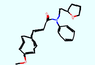 COc1ccc(C=CC(=O)N(CC2CCCO2)c2ccccc2)cc1